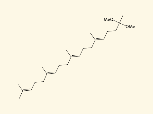 COC(C)(CC/C=C(\C)CC/C=C(\C)CC/C=C(\C)CCC=C(C)C)OC